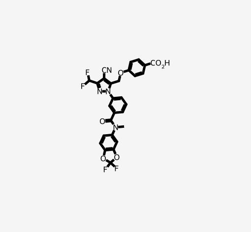 CN(C(=O)c1cccc(-n2nc(C(F)F)c(C#N)c2COc2ccc(C(=O)O)cc2)c1)c1ccc2c(c1)OC(F)(F)O2